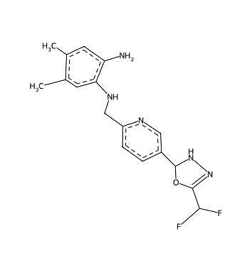 Cc1cc(N)c(NCc2ccc(C3NN=C(C(F)F)O3)cn2)cc1C